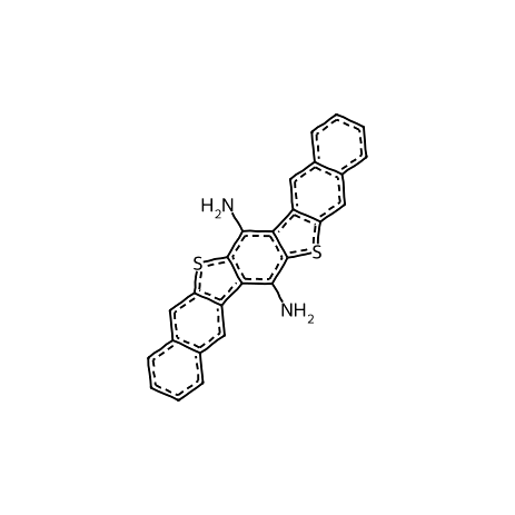 Nc1c2sc3cc4ccccc4cc3c2c(N)c2sc3cc4ccccc4cc3c12